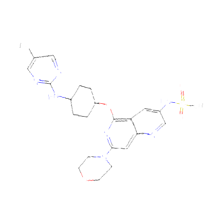 Cc1cnc(NC2CCC(Oc3nc(N4CCOCC4)cc4ncc(NS(C)(=O)=O)cc34)CC2)nc1